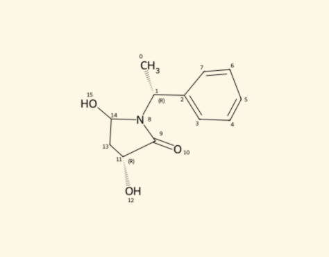 C[C@H](c1ccccc1)N1C(=O)[C@H](O)CC1O